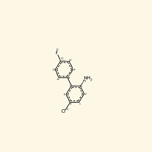 Nc1ccc(Cl)cc1-c1ccc(F)cc1